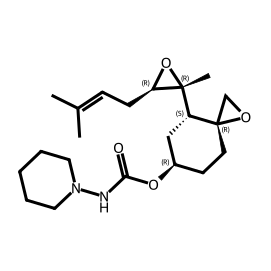 CC(C)=CC[C@H]1O[C@]1(C)[C@H]1C[C@H](OC(=O)NN2CCCCC2)CC[C@]12CO2